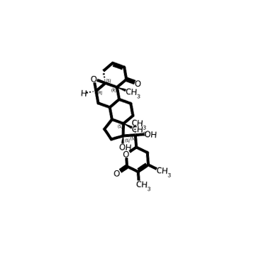 CC1=C(C)C(=O)OC([C@](C)(O)[C@]2(O)CCC3C4C[C@H]5O[C@]56CC=CC(=O)[C@]6(C)C4CC[C@@]32C)C1